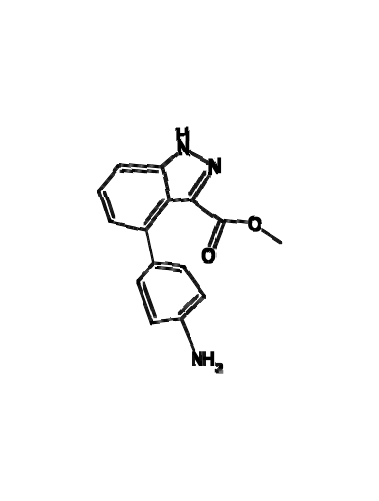 COC(=O)c1n[nH]c2cccc(-c3ccc(N)cc3)c12